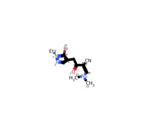 CCn1ncc(CC(=O)/C(C#N)=C\N(C)C)c1Br